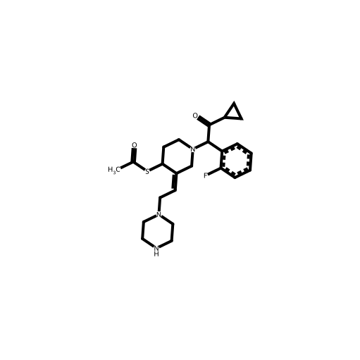 CC(=O)SC1CCN(C(C(=O)C2CC2)c2ccccc2F)CC1=CCN1CCNCC1